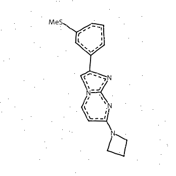 CSc1cccc(-c2cn3ccc(N4CCC4)nc3n2)c1